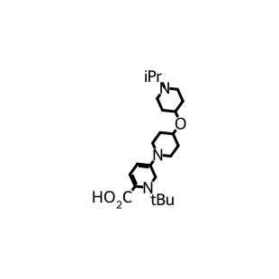 CC(C)N1CCC(OC2CCN(C3=CC=C(C(=O)O)N(C(C)(C)C)C3)CC2)CC1